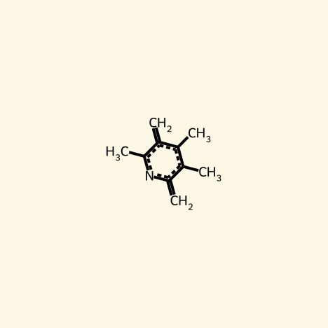 C=c1nc(C)c(=C)c(C)c1C